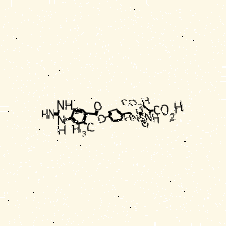 Cc1cc(NC(=N)N)ccc1C(=O)Oc1ccc(CNS(=O)(=O)NC(CC(=O)O)C(=O)O)cc1